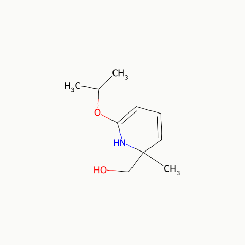 CC(C)OC1=CC=CC(C)(CO)N1